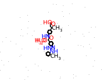 Cc1ccccc1Nc1nc2ccc(CC(=O)Nc3ccc(C(C)CC(=O)O)cc3)cc2[nH]1.O.O